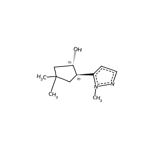 Cn1nccc1[C@H]1CC(C)(C)C[C@@H]1O